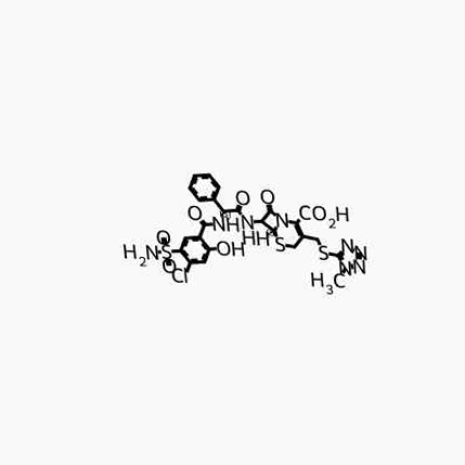 Cn1nnnc1SCC1=C(C(=O)O)N2C(=O)C(NC(=O)[C@@H](NC(=O)c3cc(S(N)(=O)=O)c(Cl)cc3O)c3ccccc3)[C@@H]2SC1